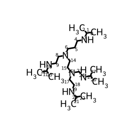 CC(C)NCCCN(CCNC(C)C)CCN(CCNC(C)C)CNC(C)C